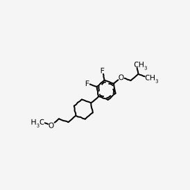 COCCC1CCC(c2ccc(OCC(C)C)c(F)c2F)CC1